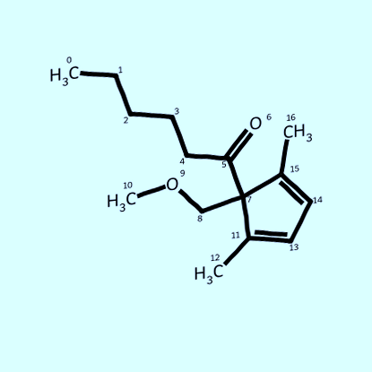 CCCCCC(=O)C1(COC)C(C)=CC=C1C